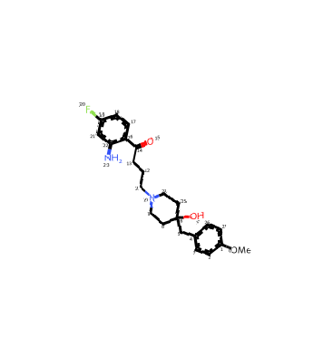 COc1ccc(CC2(O)CCN(CCCC(=O)c3ccc(F)cc3N)CC2)cc1